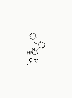 CCOC(=O)c1cc(-c2ccccc2Cc2ccccc2)n[nH]1